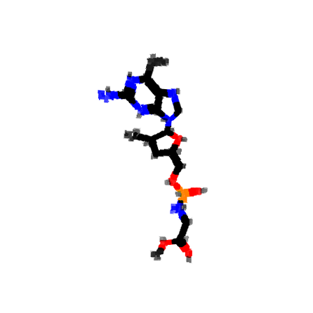 CNc1nc(N)nc2c1ncn2C1OC(CO[PH](=O)NCC(=O)OC(C)C)CC1C